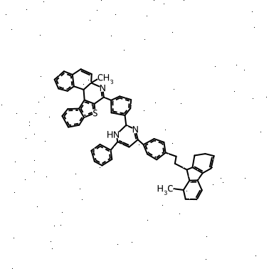 CC1CC=CC2=C1C(CCc1ccc(C3=NC(c4cccc(C5=NC6(C)C=Cc7ccccc7C6c6c5sc5ccccc65)c4)NC(c4ccccc4)=C3)cc1)C1=C2C=CCC1